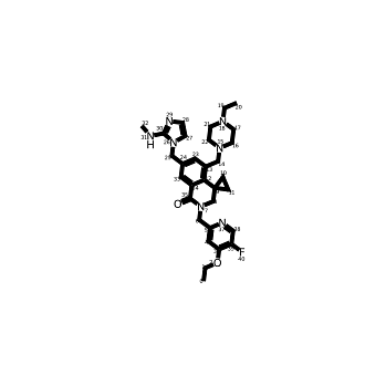 CCOc1cc(CN2CC3(CC3)c3c(CN4CCN(CC)CC4)cc(Cn4ccnc4NC)cc3C2=O)ncc1F